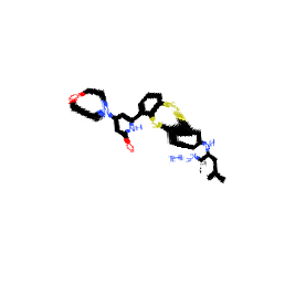 CC(C)CC(Nc1ccc2c(c1)Sc1cccc(-c3cc(N4CCOCC4)cc(=O)[nH]3)c1S2)[C@H](C)N